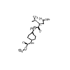 CSCC[C@@H](C(=O)NC1CCC(NC(=O)OC(C)(C)C)CC1)N(C)C(=O)O